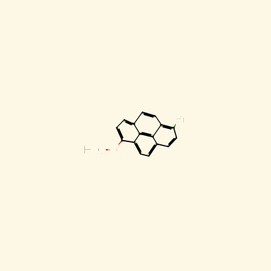 COc1ccc2ccc3c(Br)ccc4ccc1c2c43